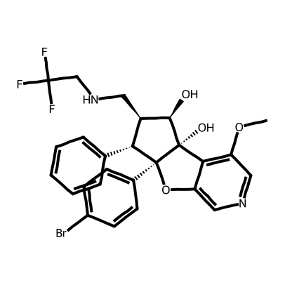 COc1cncc2c1[C@]1(O)[C@H](O)[C@H](CNCC(F)(F)F)[C@@H](c3ccccc3)[C@]1(c1ccc(Br)cc1)O2